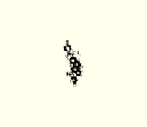 CN(C(=O)N1CCNCC1)C1CC[C@@]2(C)[C@H](CC[C@@H]3[C@@H]2C[C@@H](O)[C@]2(C)[C@@H](C4=CC(=O)OC4)CC[C@]32O)C1